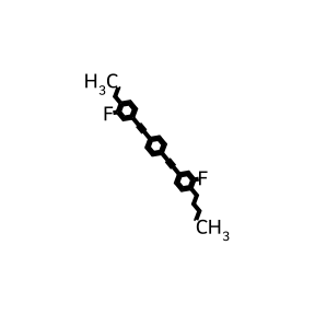 CCCCCc1ccc(C#Cc2ccc(C#Cc3ccc(CCC)c(F)c3)cc2)cc1F